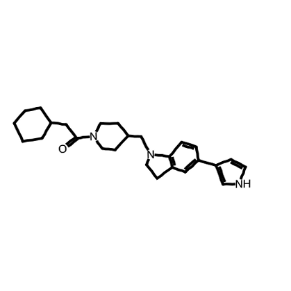 O=C(CC1CCCCC1)N1CCC(CN2CCc3cc(-c4cc[nH]c4)ccc32)CC1